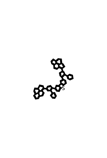 c1ccc(-c2cc(-c3ccc4ccc5cccc6ccc3c4c56)ccc2-c2ccc3sc4ccc(-c5ccc(-c6ccc7ccc8cccc9ccc6c7c89)cc5-c5ccccc5)cc4c3c2)cc1